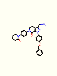 NCc1nn(-c2ccc(OCc3ccccc3)cc2)c2c1CCN(c1ccc(N3CCCCC3=O)cc1)C2=O